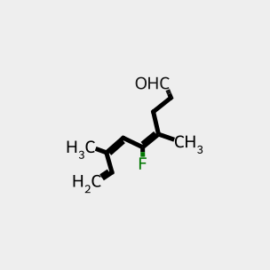 C=C/C(C)=C\C(F)=C(\C)CCC=O